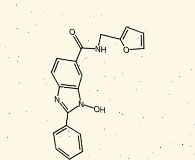 O=C(NCc1ccco1)c1ccc2nc(-c3ccccc3)n(O)c2c1